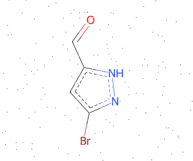 O=Cc1cc(Br)n[nH]1